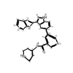 O=C(NC1CCNCC1)c1cncc(-c2ccc3[nH]nc(-c4nc5ccncc5[nH]4)c3c2)c1